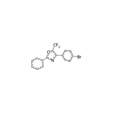 FC(F)(F)c1oc(-c2ccccc2)nc1-c1ccc(Br)cc1